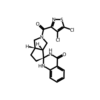 O=C1N[C@]2(CC[C@@H]3CN(C(=O)c4nsc(Cl)c4Cl)C[C@@H]32)Nc2ccccc21